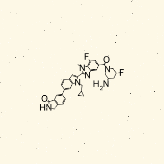 Cn1c(-c2cc3ccc(-c4ccc5c(c4)C(=O)NC5)cc3n2CC2CC2)nc2cc(C(=O)N3C[C@H](N)C[C@@H](F)C3)cc(F)c21